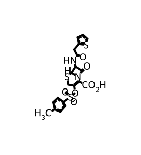 Cc1ccc(S(=O)(=O)OC2=C(C(=O)O)N3C(=O)C(NC(=O)Cc4cccs4)[C@H]3SC2)cc1